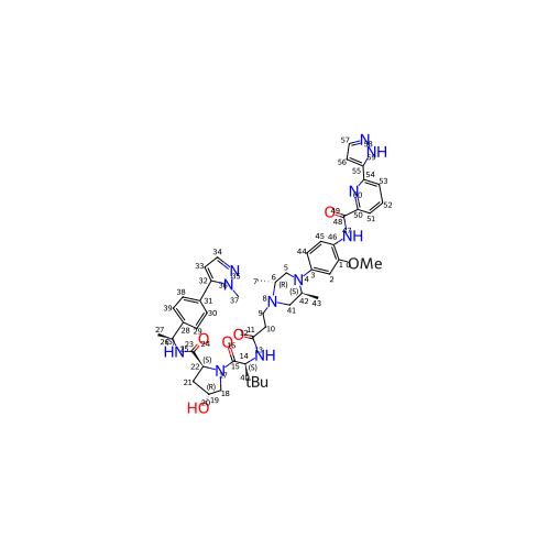 COc1cc(N2C[C@@H](C)N(CCC(=O)N[C@H](C(=O)N3C[C@H](O)C[C@H]3C(=O)N[C@@H](C)c3ccc(-c4ccnn4C)cc3)C(C)(C)C)C[C@@H]2C)ccc1NC(=O)c1cccc(-c2ccn[nH]2)n1